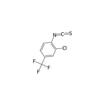 FC(F)(F)c1ccc(N=C=S)c(Cl)c1